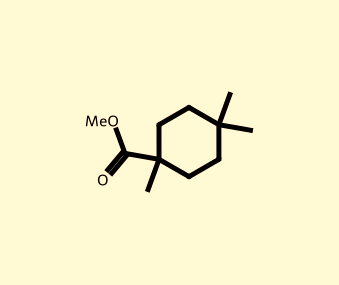 COC(=O)C1(C)CCC(C)(C)CC1